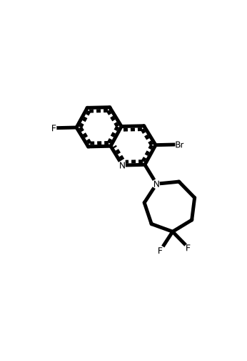 Fc1ccc2cc(Br)c(N3CCCC(F)(F)CC3)nc2c1